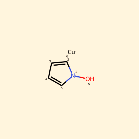 On1cccc1.[Cu]